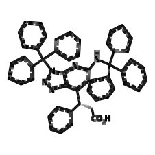 O=C(O)C[C@H](c1ccccc1)c1cc(NC(c2ccccc2)(c2ccccc2)c2ccccc2)nc2c1nnn2C(c1ccccc1)(c1ccccc1)c1ccccc1